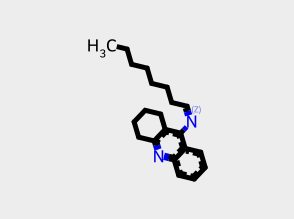 CCCCCCC/C=N\c1c2c(nc3ccccc13)CCCC2